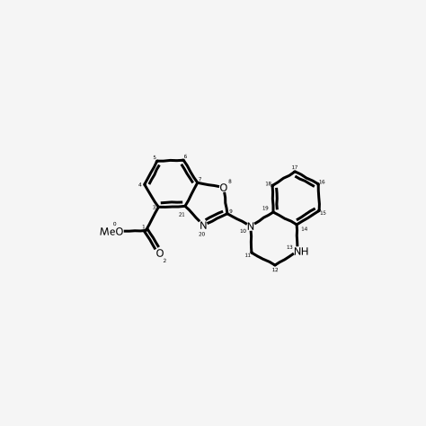 COC(=O)c1cccc2oc(N3CCNc4ccccc43)nc12